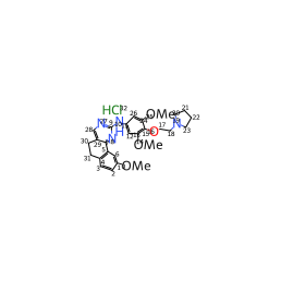 COc1ccc2c(c1)-c1nc(Nc3cc(OC)c(OCCN4CCCC4)c(OC)c3)ncc1CC2.Cl